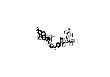 C[C@H](c1ccc(NC(=O)[C@H](CCC(=O)O)NC(=O)CNC(=O)CBr)cc1)c1ccc([C@@H]2O[C@@H]3C[C@H]4[C@@H]5CCC6=CC(=O)C=C[C@]6(C)[C@H]5[C@@H](O)C[C@]4(C)[C@]3(C(=O)CO)O2)s1